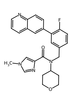 Cn1cnc(C(=O)N(Cc2ccc(F)c(-c3ccc4ncccc4c3)c2)C2CCOCC2)c1